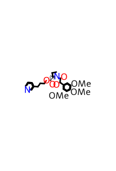 COc1cc(C(=O)C(=O)N2CC[C@H]2C(=O)OCCCc2cccnc2)cc(OC)c1OC